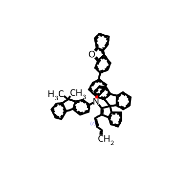 C=C/C=C\C1=C(N(c2ccc(-c3ccc4c(c3)oc3ccccc34)cc2)c2ccc3c(c2)C(C)(C)c2ccccc2-3)C2(c3ccccc31)c1ccccc1-c1ccccc12